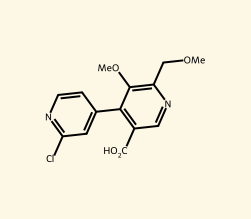 COCc1ncc(C(=O)O)c(-c2ccnc(Cl)c2)c1OC